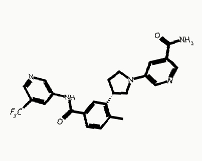 Cc1ccc(C(=O)Nc2cncc(C(F)(F)F)c2)cc1[C@@H]1CCN(c2cncc(C(N)=O)c2)C1